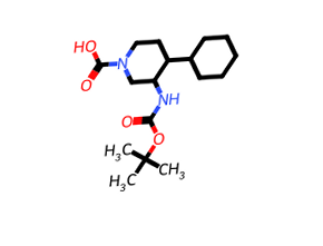 CC(C)(C)OC(=O)NC1CN(C(=O)O)CCC1C1CCCCC1